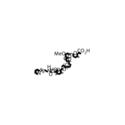 CO[C@@H]1C[C@@H](C[C@H]2CC[C@H](C)C([C@@H](C)C(=O)O)O2)O[C@]2(O[C@@](C)(C3CC[C@@](C)([C@@H]4O[C@@H]([C@@H]5O[C@@](O)(COC(=O)NCCSSc6ccccn6)[C@H](C)C[C@@H]5C)C[C@@H]4C)O3)C[C@H]2C)[C@@H]1C